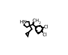 C=C(c1ccc(Cl)c(Cl)c1)C1(CC2CC2)CCNC1